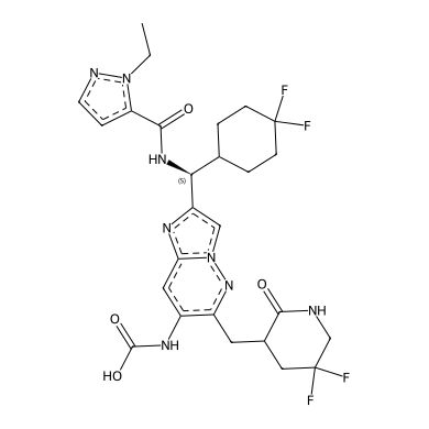 CCn1nccc1C(=O)N[C@H](c1cn2nc(CC3CC(F)(F)CNC3=O)c(NC(=O)O)cc2n1)C1CCC(F)(F)CC1